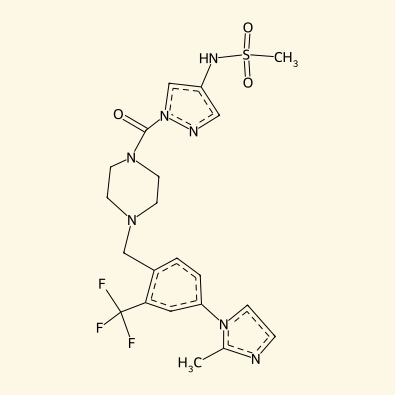 Cc1nccn1-c1ccc(CN2CCN(C(=O)n3cc(NS(C)(=O)=O)cn3)CC2)c(C(F)(F)F)c1